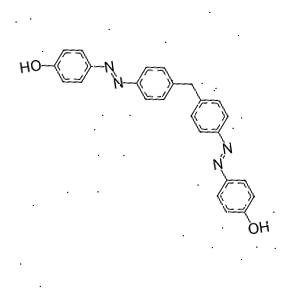 Oc1ccc(N=Nc2ccc(Cc3ccc(N=Nc4ccc(O)cc4)cc3)cc2)cc1